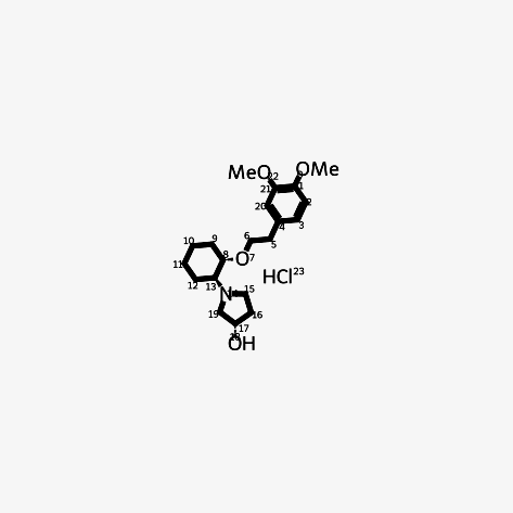 COc1ccc(CCO[C@H]2CCCC[C@@H]2N2CC[C@H](O)C2)cc1OC.Cl